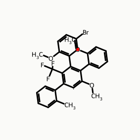 COc1[c]c(-c2ccccc2C)c(C(F)(F)F)c(-c2cc(Br)ccc2OC)c1-c1ccccc1OC